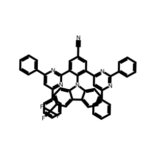 N#Cc1cc(-c2cc(-c3ccccc3)nc(-c3ccccc3)n2)c(-n2c3ccccc3c3cc(C(F)(F)F)ccc32)c(-c2nc(-c3ccccc3)cc(-c3ccccc3)n2)c1